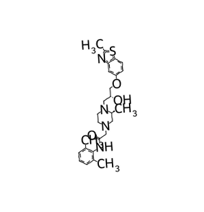 Cc1nc2cc(OC[C@H](O)CN3CCN(CC(=O)Nc4c(C)cccc4C)C[C@@H]3C)ccc2s1